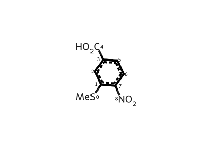 CSc1cc(C(=O)O)ccc1[N+](=O)[O-]